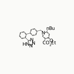 CCCCc1cc(=O)c(C(=O)OCC)cn1Cc1ccc(-c2ccccc2-c2nnn[nH]2)cc1